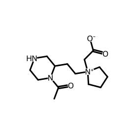 CC(=O)N1CCNCC1CC[N+]1(CC(=O)[O-])CCCC1